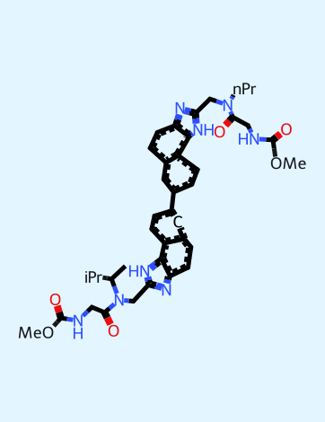 CCCN(Cc1nc2ccc3cc(-c4ccc5c(ccc6nc(CN(C(=O)CNC(=O)OC)C(C)C(C)C)[nH]c65)c4)ccc3c2[nH]1)C(=O)CNC(=O)OC